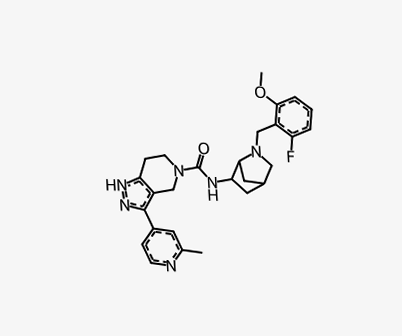 COc1cccc(F)c1CN1CC2CC(NC(=O)N3CCc4[nH]nc(-c5ccnc(C)c5)c4C3)C1C2